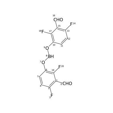 O=Cc1c(F)ccc(OBOc2ccc(F)c(C=O)c2F)c1F